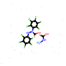 NNC(O)=S.OC(=S)N(Nc1c(F)c(F)c(F)c(F)c1F)c1c(F)c(F)c(F)c(F)c1F